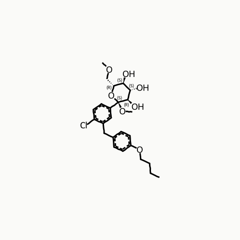 CCCCOc1ccc(Cc2cc([C@]3(OC)O[C@H](COC)[C@@H](O)[C@H](O)[C@H]3O)ccc2Cl)cc1